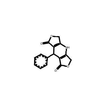 O=C1OCC2=C1C(c1ccccc1)C1=C(COC1=O)N2